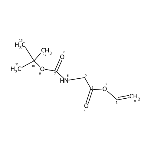 C=COC(=O)CNC(=O)OC(C)(C)C